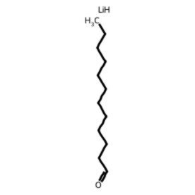 CCCCCCCCCCCC=O.[LiH]